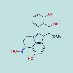 COC1C(O)c2c(O)cccc2C2=C3CC/C(=N\O)c4c(O)ccc(c43)C21